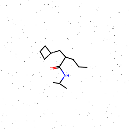 CCCC(CC1CCC1)C(=O)NC(C)C